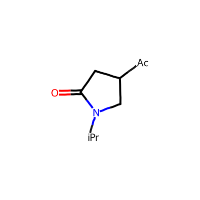 CC(=O)C1CC(=O)N(C(C)C)C1